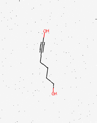 OC#CCCCCO